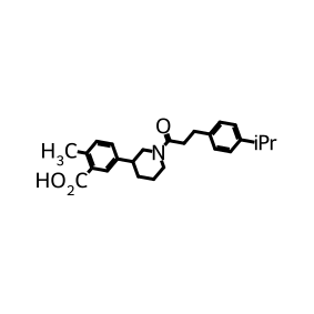 Cc1ccc(C2CCCN(C(=O)CCc3ccc(C(C)C)cc3)C2)cc1C(=O)O